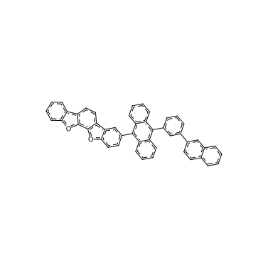 c1cc(-c2ccc3ccccc3c2)cc(-c2c3ccccc3c(-c3ccc4oc5c(ccc6c7ccccc7oc65)c4c3)c3ccccc23)c1